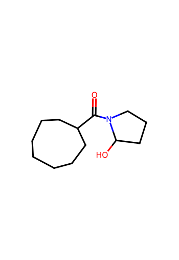 O=C(C1CCCCCCC1)N1CCCC1O